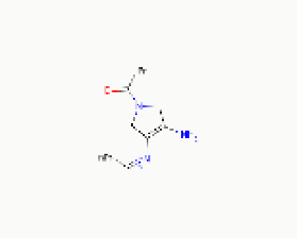 CCC/C=N\C1=C(N)CN(C(=O)C(C)C)C1